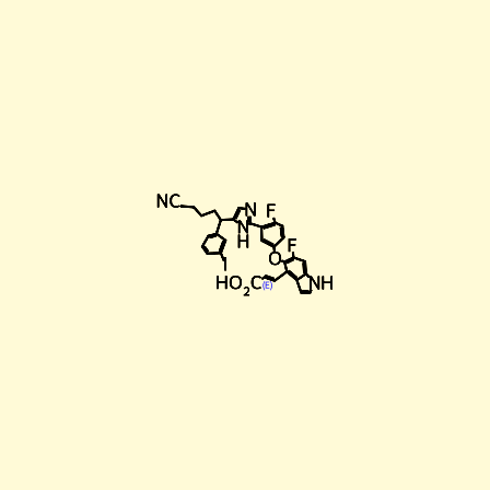 N#CCCCCC(c1cccc(I)c1)c1cnc(-c2cc(Oc3c(F)cc4[nH]ccc4c3/C=C/C(=O)O)ccc2F)[nH]1